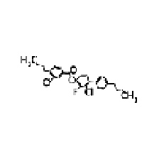 C=CCCc1ccc(-c2ccc(OC(=O)c3ccc(CCC=C)c(Cl)c3)c(F)c2Cl)cc1